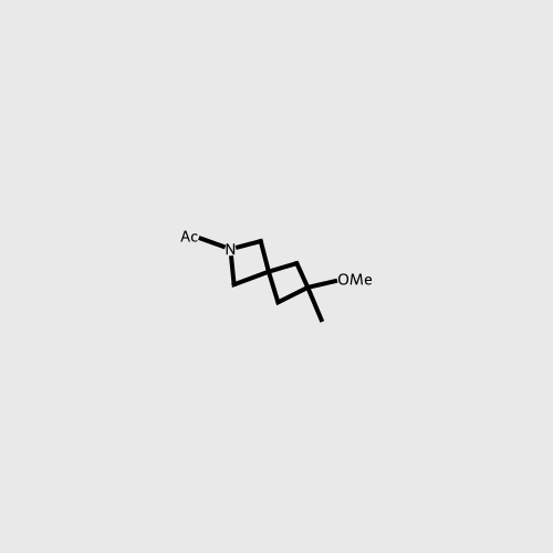 COC1(C)CC2(CN(C(C)=O)C2)C1